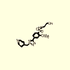 COc1cc(-c2nnn(Cc3ccncc3)n2)ccc1S(=O)(=O)NCCO